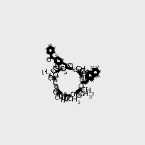 CCC1(C)NC(=O)C(C)OC(=O)C(C)(C)OC(Cc2ccc3ccccc3c2)NC(=O)C(C)(C)OC(=O)C(Cc2ccc(C(=O)c3ccccc3)cc2)OC(=O)C(C)(C)OC(=O)COC1=O